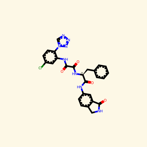 O=C(Nc1cc(Cl)ccc1-n1cnnn1)C(=O)N[C@@H](Cc1ccccc1)C(=O)Nc1ccc2c(c1)C(=O)NC2